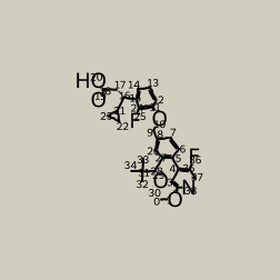 COc1cc(-c2ccc(COc3cccc([C@@H](CC(=O)O)C4CC4)c3F)cc2[C@@H](OC)C(C)(C)C)c(F)cn1